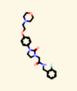 O=C(CN1CCN(c2ccc(OCCN3CCOCC3)cc2)C1=O)NCc1ccccc1F